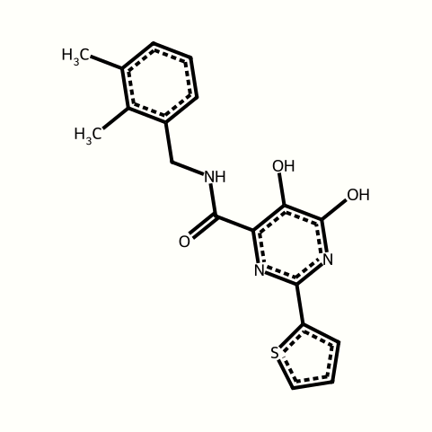 Cc1cccc(CNC(=O)c2nc(-c3cccs3)nc(O)c2O)c1C